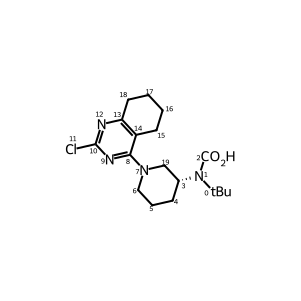 CC(C)(C)N(C(=O)O)[C@@H]1CCCN(c2nc(Cl)nc3c2CCCC3)C1